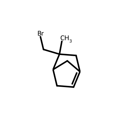 CC1(CBr)CC2=CCC1C2